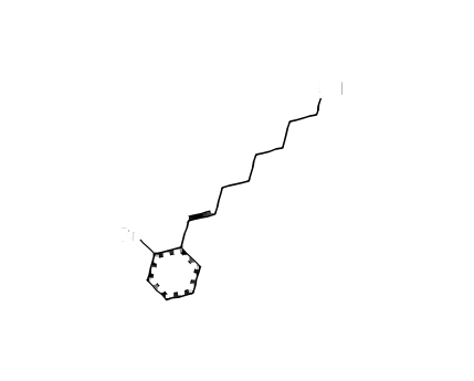 CCCCCCCC=Cc1ccccc1Br